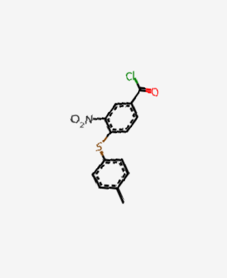 Cc1ccc(Sc2ccc(C(=O)Cl)cc2[N+](=O)[O-])cc1